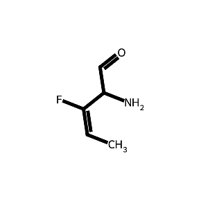 C/C=C(/F)C(N)C=O